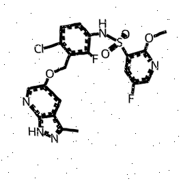 COc1ncc(F)cc1S(=O)(=O)Nc1ccc(Cl)c(COc2cnc3[nH]nc(C)c3c2)c1F